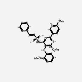 COc1ccc(-c2nc(NS(=O)(=O)/C=C/c3ccccc3)c(Oc3ccccc3OC)c(OC)n2)cn1